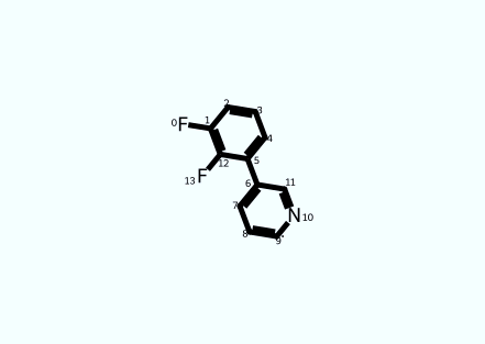 Fc1cccc(-c2cc[c]nc2)c1F